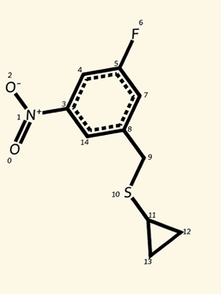 O=[N+]([O-])c1cc(F)cc(CSC2CC2)c1